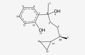 C[C@H](CCC(C)(O)c1ccccc1O)C1CC1